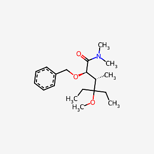 CCC(CC)(OC)[C@@H](C)[C@@H](OCc1ccccc1)C(=O)N(C)C